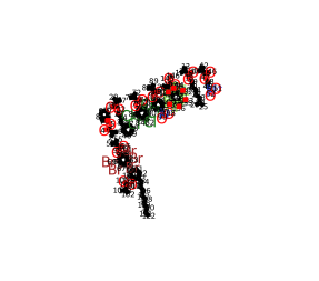 C=C(C)C(=O)OC1CC2CCC1C2.C=C(C)C(=O)OCCCCCC(C)C.C=C(C)C(=O)OCCCc1ccccc1.C=C(C)C(=O)OCC[N+](=O)[O-].C=C(C)C(=O)Oc1c(Br)c(Br)c(Br)c(Br)c1Br.C=C(C)C(=O)Oc1c(Cl)c(Cl)c(Cl)c(Cl)c1Cl.C=C(C)C(=O)Oc1ccc([N+](=O)[O-])cc1.C=C(C)C(=O)Oc1ccccc1CCCCCCCCC.C=C(CC1(F)C(F)(F)C(F)(F)C(F)(F)C(F)(F)C1(F)F)C(=O)OC